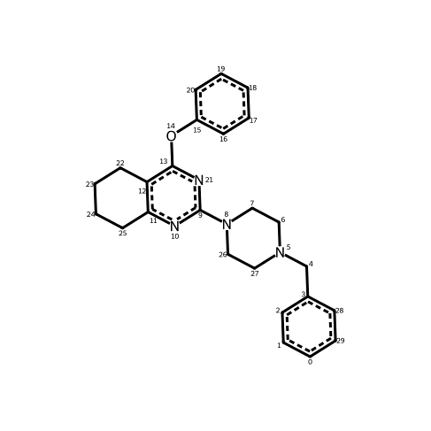 c1ccc(CN2CCN(c3nc4c(c(Oc5ccccc5)n3)CCCC4)CC2)cc1